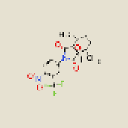 CC12CCC(C)(O1)[C@H]1C(=O)N(c3ccc([N+](=O)[O-])c(C(F)(F)F)c3)C(=O)C12